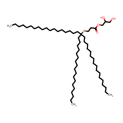 CCCCCCCCCCCCCCCCCCC(CCCCCCCCCCCCCCCCC)(CCCCCCCCCCCCCCCCCC)SCCC(=O)OCC(O)CO